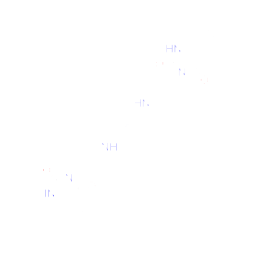 O=c1[nH]c2ccccc2c(=O)n1CCCNC/C=C/CNCCCn1c(=O)[nH]c2ccccc2c1=O